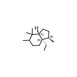 CC[C@]12CCC(C)C(C)(C)[C@@H]1CC[C@H]2C